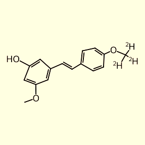 [2H]C([2H])([2H])Oc1ccc(/C=C/c2cc(O)cc(OC)c2)cc1